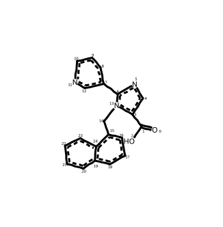 O=C(O)c1cnc(-c2cccnc2)n1Cc1cccc2ccccc12